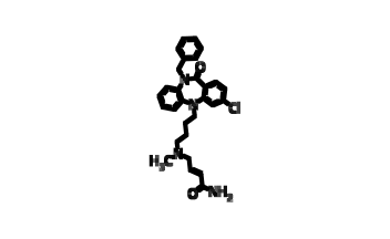 CN(C/C=C/C(N)=O)CCCCN1c2cc(Cl)ccc2C(=O)N(Cc2ccccc2)c2ccccc21